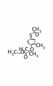 CCOC(=O)C(C)(C)Oc1ccc(SC(C)=O)cc1C